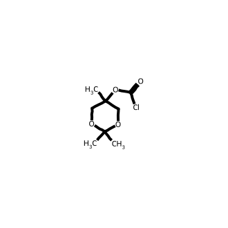 CC1(OC(=O)Cl)COC(C)(C)OC1